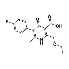 CCOCc1[nH]c(C)c(-c2ccc(F)cc2)c(=O)c1C(=O)O